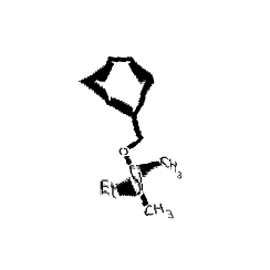 CC[Si](C)(C)OCc1ccccc1